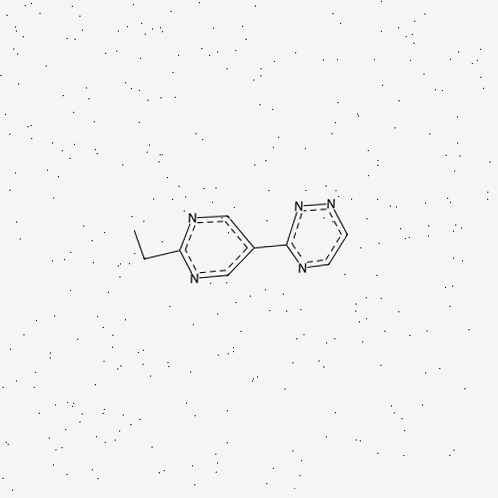 CCc1ncc(-c2nccnn2)cn1